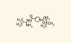 CC(C)/C(N)=N/OC(=O)C1=CCN(C(=O)OC(C)(C)C)CC1